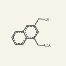 O=C(O)Cc1cc(CO)cc2ccccc12